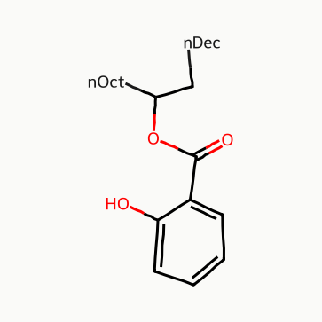 CCCCCCCCCCCC(CCCCCCCC)OC(=O)c1ccccc1O